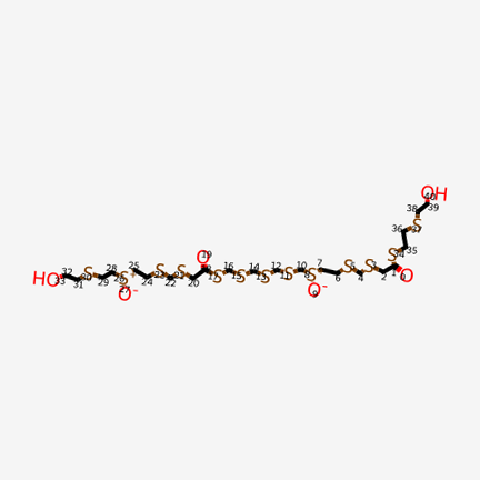 O=C(CSCSCC[S+]([O-])CSCSCSCSC(=O)CSCSCC[S+]([O-])CCSCCO)SCCSCCO